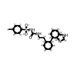 Cc1ccc(S(=O)(=O)NC(=O)NCCc2ccccc2-c2cccc3[nH]cnc23)cc1